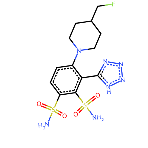 NS(=O)(=O)c1ccc(N2CCC(CF)CC2)c(-c2nnn[nH]2)c1S(N)(=O)=O